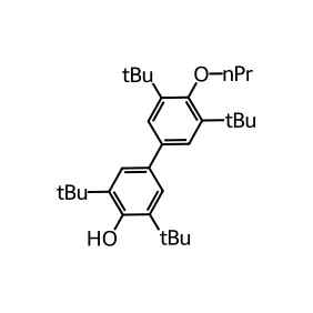 CCCOc1c(C(C)(C)C)cc(-c2cc(C(C)(C)C)c(O)c(C(C)(C)C)c2)cc1C(C)(C)C